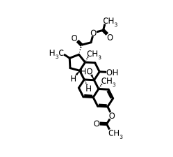 CC(=O)OCC(=O)[C@H]1C(C)C[C@H]2[C@@H]3CC=C4C=C(OC(C)=O)C=C[C@]4(C)[C@@]3(O)C(O)C[C@]12C